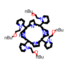 CCCCOCC[n+]1ccccc1-c1c2nc(c(-c3cccc[n+]3CCOCCCC)c3ccc([nH]3)c(-c3cccc[n+]3CCOCCCC)c3nc(c(-c4cccc[n+]4CCOCCCC)c4ccc1[nH]4)C=C3)C=C2